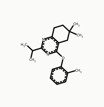 Cc1ccccc1Oc1nc(C(C)C)nc2c1CC(C)(C)CC2